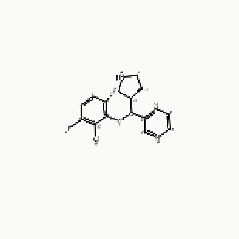 Fc1ccc(F)c(O[C@H](c2cnccn2)[C@@H]2CCNC2)c1Cl